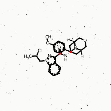 COc1ccc(CN2[C@@H]3COC[C@H]2C[C@@H](NC(=O)c2nn(CC(C)Cl)c4ccccc24)C3)cc1